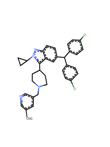 O=Cc1cncc(CN2CCC(c3c4cc(C(c5ccc(Cl)cc5)c5ccc(Cl)cc5)ccc4nn3C3CC3)CC2)c1